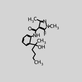 CCCCC(C)(O)c1ccccc1NC(=O)c1c(C)nn(C)c1F